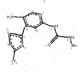 Bc1cnc(NC(=O)NC(C)CC)cc1-c1nc(C(F)(F)F)cs1